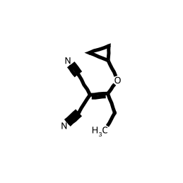 CCC(OC1CC1)=C(C#N)C#N